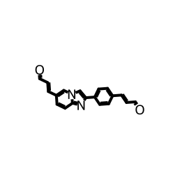 O=CC=Cc1ccc(-c2cn3cc(C=CC=O)ccc3n2)cc1